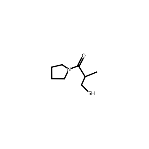 CC(CS)C(=O)N1CCCC1